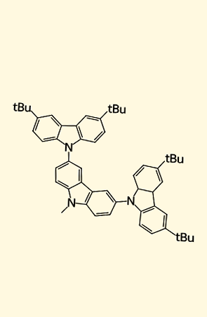 Cn1c2ccc(N3c4ccc(C(C)(C)C)cc4C4C=C(C(C)(C)C)C=CC43)cc2c2cc(-n3c4ccc(C(C)(C)C)cc4c4cc(C(C)(C)C)ccc43)ccc21